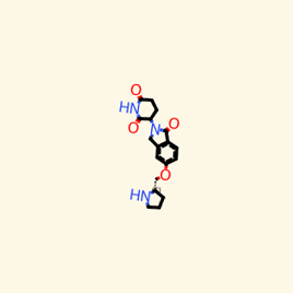 O=C1CCC(N2Cc3cc(OC[C@@H]4CCCN4)ccc3C2=O)C(=O)N1